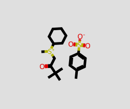 C[S+](CC(=O)C(C)(C)C)C1CCCCC1.Cc1ccc(S(=O)(=O)[O-])cc1